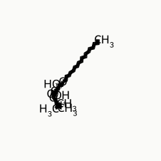 CCCCCCCCCCCCCCCCCCOC[C@@H](O)CO[P@](=O)(O)OCC[N+](C)(C)C